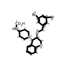 O=C(O)NC1CCN([C@H]2c3ccccc3OC[C@@H]2OCc2cc(Br)cc(Br)c2)CC1